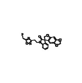 O=C1N(CCc2noc(CF)n2)c2ccccc2C12COc1cc3c(cc12)OCO3